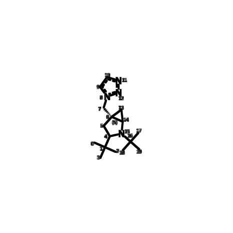 CC(C)(C)C1C[C@@]2(Cn3ccnn3)CC2N1C(C)(C)C